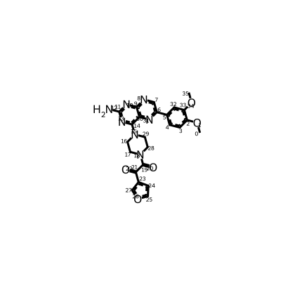 COc1ccc(-c2cnc3nc(N)nc(N4CCN(C(=O)C(=O)c5ccoc5)CC4)c3n2)cc1OC